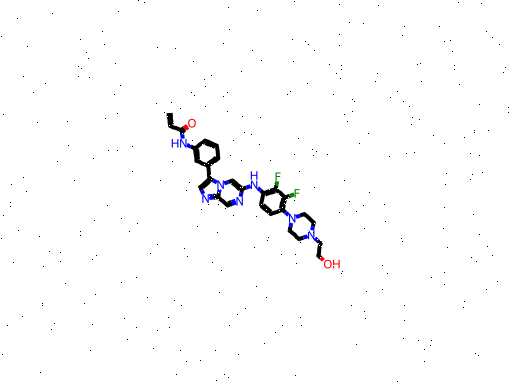 C=CC(=O)Nc1cccc(-c2cnc3cnc(Nc4ccc(N5CCN(CCO)CC5)c(F)c4F)cn23)c1